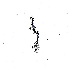 COC(C)CN(C)C(=O)C(O)(CO)NC(=O)/C=C/C=C/C=C/C=C\CNC(=O)C(C)(C)C(O)\C(C)=C/C=C\C=C\CC1CN=CO1